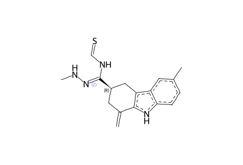 C=C1C[C@@H](/C(=N/NC)NC=S)Cc2c1[nH]c1ccc(C)cc21